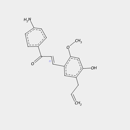 C=CCc1cc(/C=C/C(=O)c2ccc(N)cc2)c(OC)cc1O